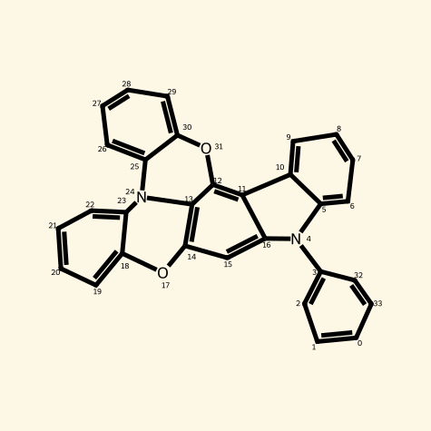 c1ccc(-n2c3ccccc3c3c4c5c(cc32)Oc2ccccc2N5c2ccccc2O4)cc1